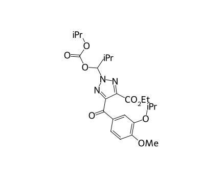 CCOC(=O)c1nn(C(OC(=O)OC(C)C)C(C)C)nc1C(=O)c1ccc(OC)c(OC(C)C)c1